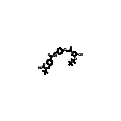 CC(C)(C)N(Cc1ccc(C(=O)NCc2ccc(OCC(=O)N3C[C@@H](O)[C@H](O[Si](C)(C)C(C)(C)C)C3)cc2)cc1)C(=O)O